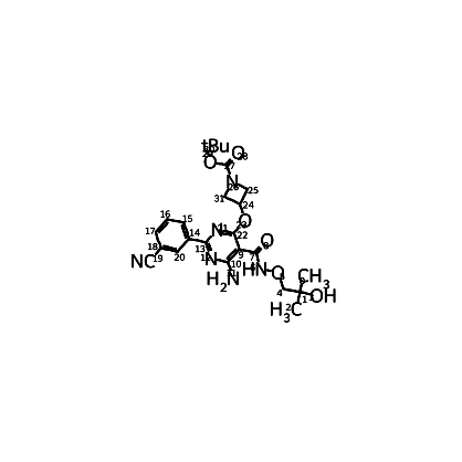 CC(C)(O)CONC(=O)c1c(N)nc(-c2cccc(C#N)c2)nc1OC1CN(C(=O)OC(C)(C)C)C1